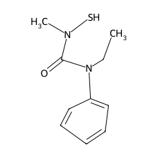 CCN(C(=O)N(C)S)c1ccccc1